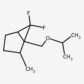 CC(C)OCC12C(C)CCC1C2(F)F